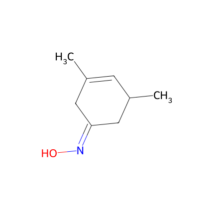 CC1=CC(C)CC(=NO)C1